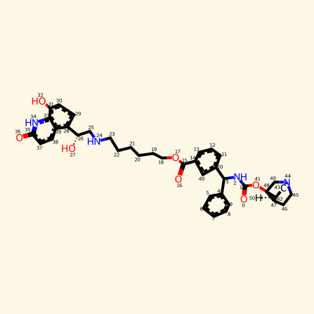 O=C(NC(c1ccccc1)c1cccc(C(=O)OCCCCCCNC[C@H](O)c2ccc(O)c3[nH]c(=O)ccc23)c1)O[C@H]1CN2CCC1CC2